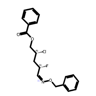 O=C(OC[C@H](Cl)C[C@H](F)/C=N\OCc1ccccc1)c1ccccc1